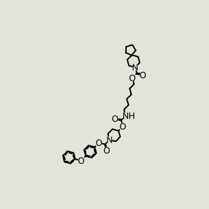 O=C(NCCCCCCOC(=O)N1CCC2(CCCC2)CC1)OC1CCN(C(=O)Oc2ccc(Oc3ccccc3)cc2)CC1